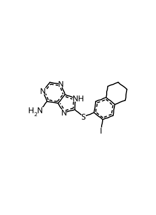 Nc1ncnc2[nH]c(Sc3cc4c(cc3I)CCCC4)nc12